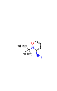 CCCCCCC(C)(CCCCCC)N1OC=CC=C1N